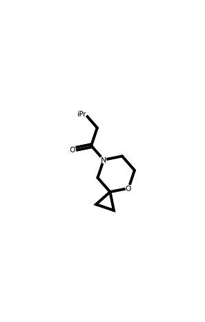 CC(C)CC(=O)N1CCOC2(CC2)C1